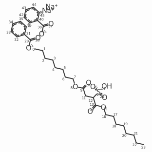 CCCCCCCCOC(=O)CC(C(=O)OCCCCCCCC)S(=O)(=O)O.O=C([O-])c1ccccc1.O=C([O-])c1ccccc1.[Na+].[Na+]